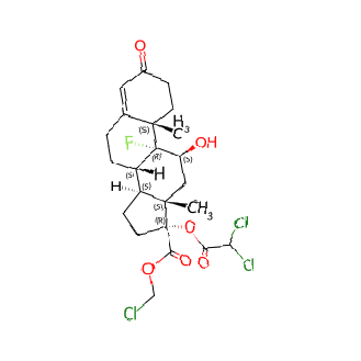 C[C@]12CCC(=O)C=C1CC[C@H]1[C@@H]3CC[C@](OC(=O)C(Cl)Cl)(C(=O)OCCl)[C@@]3(C)C[C@H](O)[C@@]12F